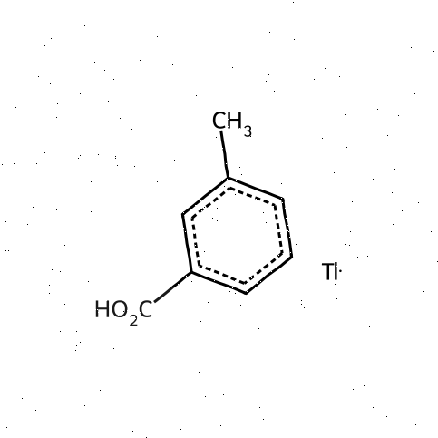 Cc1cccc(C(=O)O)c1.[Tl]